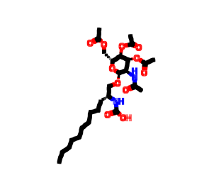 CCCCCCCCCC[C@H](CO[C@@H]1O[C@H](COC(C)=O)[C@@H](OC(C)=O)[C@H](OC(C)=O)[C@H]1NC(C)=O)NC(=O)O